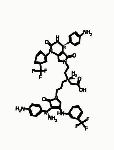 C[N+](CCCN1CC(Nc2cccc(C(F)(F)F)c2)=C([C@H](N)c2ccc(N)cc2)C1=O)(CCN1CC2=C(C1=O)[C@@H](c1ccc(N)cc1)NC(=O)N2c1cccc(C(F)(F)F)c1)CC(=O)O